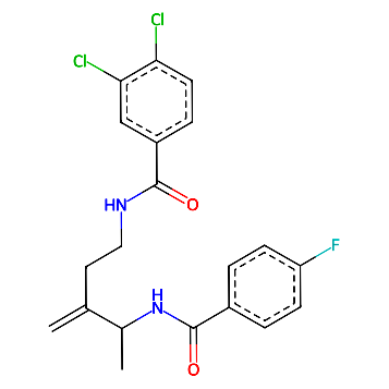 C=C(CCNC(=O)c1ccc(Cl)c(Cl)c1)C(C)NC(=O)c1ccc(F)cc1